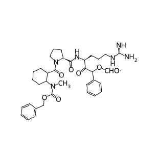 CN(C(=O)OCc1ccccc1)C1CCCCC1C(=O)N1CCC[C@H]1C(=O)N[C@@H](CCCNC(=N)N)C(=O)C(O[C]=O)c1ccccc1